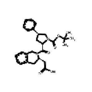 CC(C)(C)OC(=O)N1C[C@H](c2ccccc2)C[C@@H]1C(=O)N1Cc2ccccc2C[C@@H]1CC(=O)O